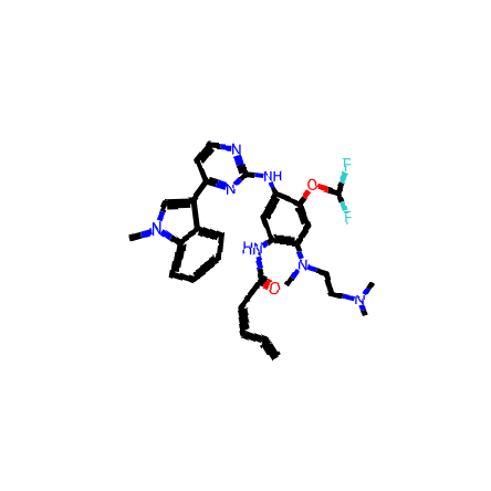 C=C/C=C\C(=O)Nc1cc(Nc2nccc(-c3cn(C)c4ccccc34)n2)c(OC(F)F)cc1N(C)CCN(C)C